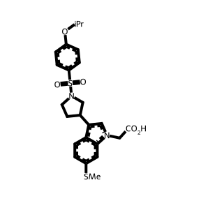 CSc1ccc2c(C3CCN(S(=O)(=O)c4ccc(OC(C)C)cc4)C3)cn(CC(=O)O)c2c1